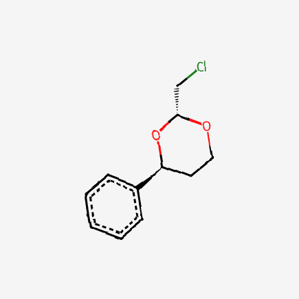 ClC[C@@H]1OCC[C@@H](c2ccccc2)O1